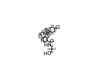 CC(C)(CO)CNC(=O)c1cnc2c(c1)N(S(=O)(=O)N1CCC(Cl)CC1)CCO2